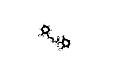 Cc1cccc(Cl)c1S(=O)(=O)NCCc1ccccc1Cl